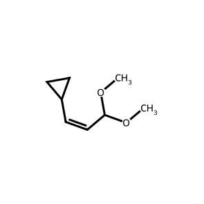 COC(/C=C\C1CC1)OC